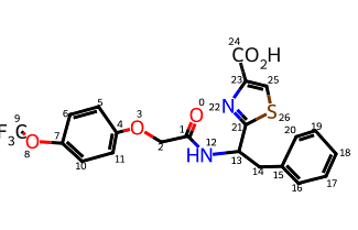 O=C(COc1ccc(OC(F)(F)F)cc1)NC(Cc1ccccc1)c1nc(C(=O)O)cs1